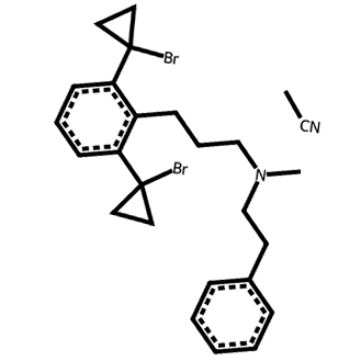 CC#N.CN(CCCc1c(C2(Br)CC2)cccc1C1(Br)CC1)CCc1ccccc1